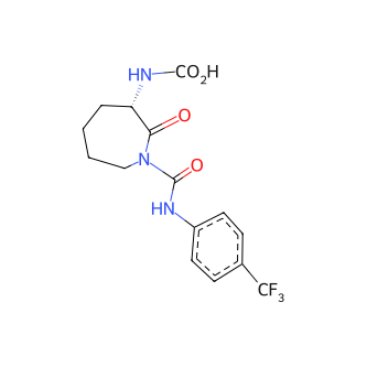 O=C(O)N[C@H]1CCCCN(C(=O)Nc2ccc(C(F)(F)F)cc2)C1=O